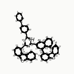 c1ccc(-c2ccc(C3N=C(c4cccc5oc6ccccc6c45)N=C(c4cc(-c5cccc6oc7ccccc7c56)c5ccccc5c4)N3)cc2)cc1